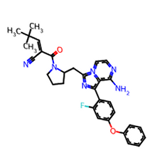 CC(C)(C)C=C(C#N)C(=O)N1CCCC1Cc1nc(-c2ccc(Oc3ccccc3)cc2F)c2c(N)nccn12